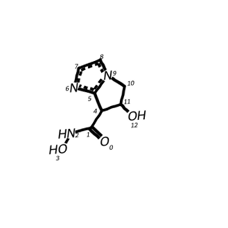 O=C(NO)C1c2nccn2CC1O